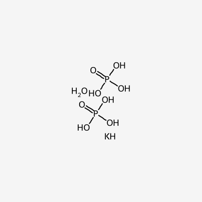 O.O=P(O)(O)O.O=P(O)(O)O.[KH]